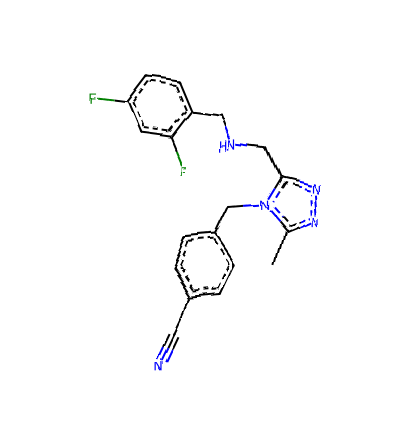 Cc1nnc(CNCc2ccc(F)cc2F)n1Cc1ccc(C#N)cc1